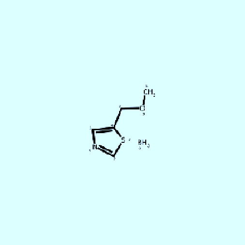 B.COCc1cncs1